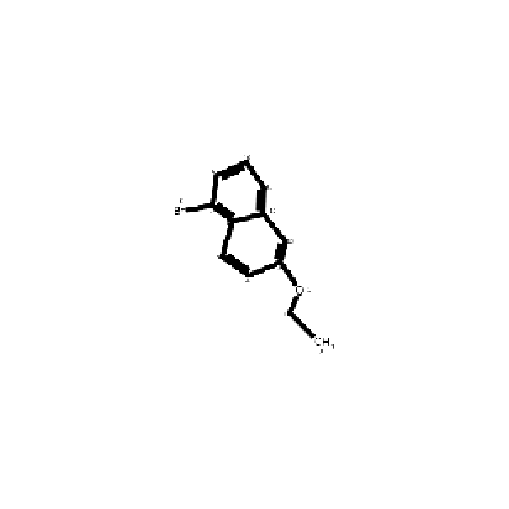 CCOc1ccc2c(Br)cccc2c1